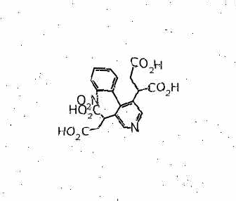 O=C(O)CC(C(=O)O)c1cncc(C(CC(=O)O)C(=O)O)c1-c1ccccc1[N+](=O)[O-]